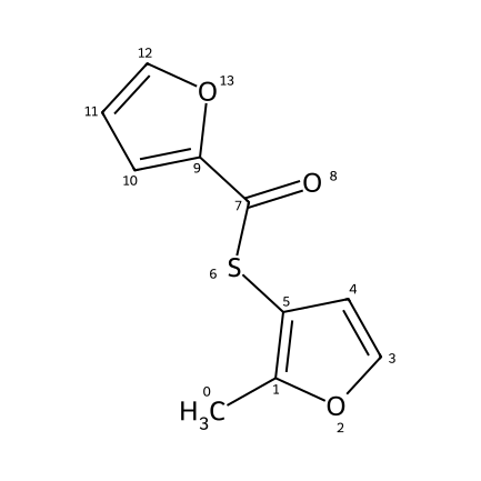 Cc1occc1SC(=O)c1ccco1